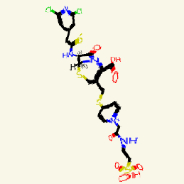 O=C(C[n+]1ccc(SCC2=C(C(=O)O)N3C(=O)[C@H](NC(=S)Cc4cc(Cl)nc(Cl)c4)[C@H]3SC2)cc1)NCCS(=O)(=O)O